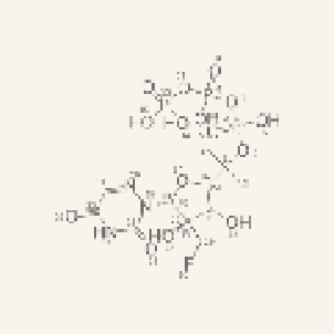 CC(C)(OP(=O)(O)OP(=O)(O)OP(=O)(O)O)[C@H]1O[C@@H](n2ncc(=O)[nH]c2=O)[C@@](O)(CF)C1O